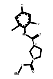 Cc1cc(Cl)cc(Br)c1NC(=O)[C@H]1CCN(C(=O)OC(C)(C)C)C1